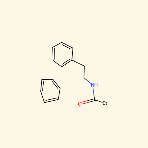 CCC(=O)NCCc1ccccc1.c1ccccc1